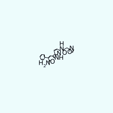 NC(=O)C(=Cc1c[nH]c2nc(NC(=O)Cc3ncco3)ccc12)c1ccccc1